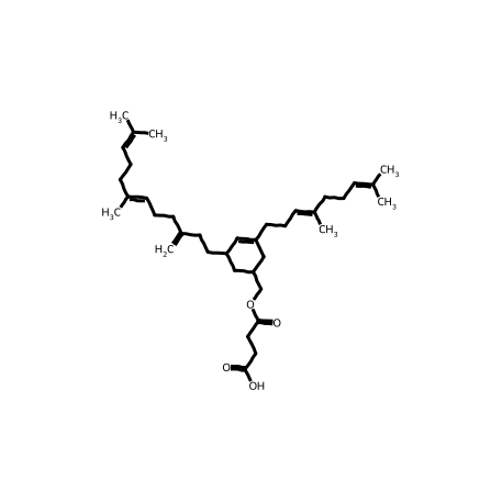 C=C(CC/C=C(\C)CCC=C(C)C)CCC1C=C(CC/C=C(\C)CCC=C(C)C)CC(COC(=O)CCC(=O)O)C1